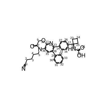 N#CCCCCN1C(=O)COc2nc(-c3ccc(C4(NC(=O)O)CCC4)cc3)c(-c3ccccc3)cc21